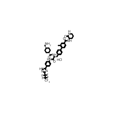 Cc1cc(C(=O)NC2CCCNC2=O)ccc1-c1ccc(C[C@H](NC(=O)[C@H]2CC[C@H](CN)CC2)C(=O)Nc2ccc(-c3nc(C(F)(F)C(F)(F)C(F)(F)F)n[nH]3)cc2)cc1.Cl